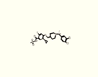 C[C@H](c1ccc(Cl)c(Cl)c1)N1CCC(COc2cc(F)c(C(=O)NS(C)(=O)=O)cc2C2CC2)CC1